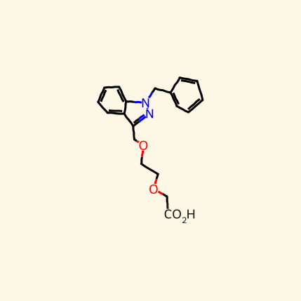 O=C(O)COCCOCc1nn(Cc2ccccc2)c2ccccc12